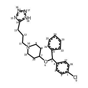 Clc1ccc(C(OC2CCN(CCCc3nnn[nH]3)CC2)c2ccccc2)cc1